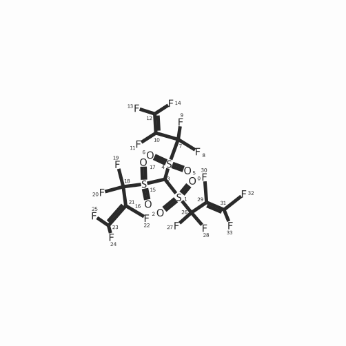 O=S(=O)(C(S(=O)(=O)C(F)(F)C(F)=C(F)F)S(=O)(=O)C(F)(F)C(F)=C(F)F)C(F)(F)C(F)=C(F)F